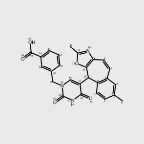 Cc1ccc2c(c1)C=Cc1nc(C)oc1C2c1cn(Cc2cccc(C(=O)O)c2)c(=O)[nH]c1=O